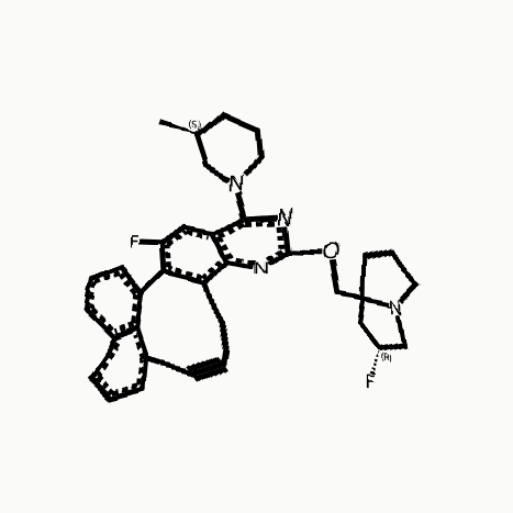 C[C@H]1CCCN(c2nc(OCC34CCCN3C[C@H](F)C4)nc3c4c(c(F)cc23)-c2cccc3cccc(c23)C#CC4)C1